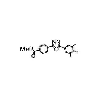 COC(=O)c1ccc(-c2nnc(-c3cc(C)c(C)c(C)c3)o2)cc1